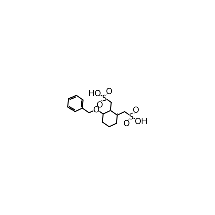 O=S(=O)(O)C[C]1CCCC(OCc2ccccc2)C1CS(=O)(=O)O